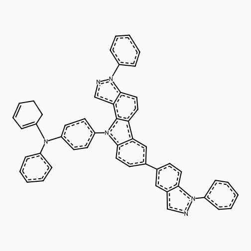 C1=CCCC(N(c2ccccc2)c2ccc(-n3c4ccc(-c5ccc6c(cnn6-c6ccccc6)c5)cc4c4ccc5c(cnn5-c5ccccc5)c43)cc2)=C1